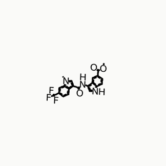 COC(=O)c1ccc2[nH]cc(NC(=O)c3cn(C)c4cc(C(F)(F)F)ccc34)c2c1